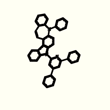 C1=Cc2c(ccc3c2c2ccccc2n3-c2cc(-c3ccccc3)cc(-c3ccccc3)n2)N(c2ccccc2)c2ccccc21